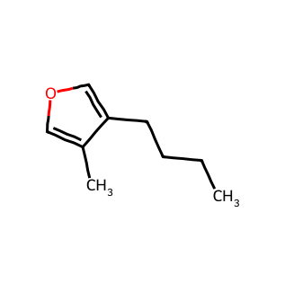 CCCCc1cocc1C